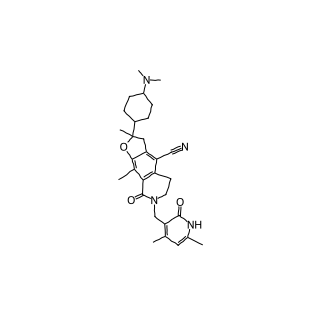 Cc1cc(C)c(CN2CCc3c(C#N)c4c(c(C)c3C2=O)OC(C)(C2CCC(N(C)C)CC2)C4)c(=O)[nH]1